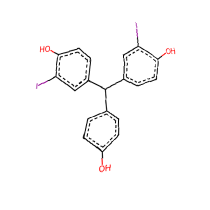 Oc1ccc(C(c2ccc(O)c(I)c2)c2ccc(O)c(I)c2)cc1